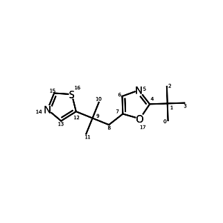 CC(C)(C)c1ncc(CC(C)(C)c2cncs2)o1